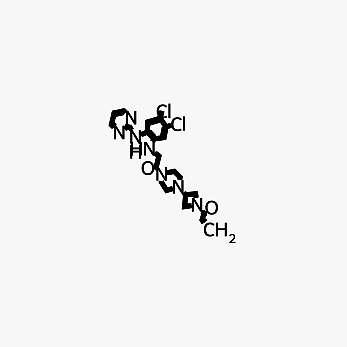 C=CC(=O)N1CC(N2CCN(C(=O)CNc3cc(Cl)c(Cl)cc3Nc3ncccn3)CC2)C1